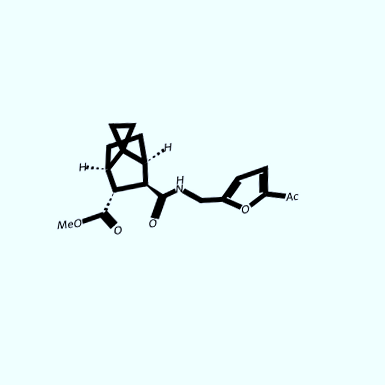 COC(=O)[C@H]1[C@H](C(=O)NCc2ccc(C(C)=O)o2)[C@@H]2CC[C@H]1C21CC1